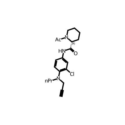 C#CCN(CCC)c1ccc(NC(=O)[C@H]2CCCCN2C(C)=O)cc1Cl